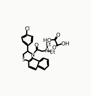 CCN(CC)CC(=O)N1c2c(ccc3ccccc23)SCC1c1ccc(Cl)cc1.O=C(O)C(=O)O